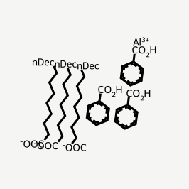 CCCCCCCCCCCCCCCCCC(=O)[O-].CCCCCCCCCCCCCCCCCC(=O)[O-].CCCCCCCCCCCCCCCCCC(=O)[O-].O=C(O)c1ccccc1.O=C(O)c1ccccc1.O=C(O)c1ccccc1.[Al+3]